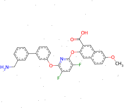 COc1ccc2cc(Oc3nc(Oc4cccc(-c5cccc(CN)c5)c4)c(F)cc3F)c(C(=O)O)cc2c1